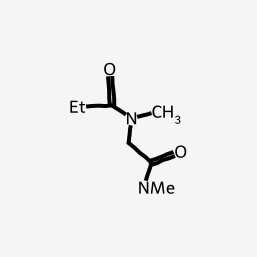 [CH2]CC(=O)N(C)CC(=O)NC